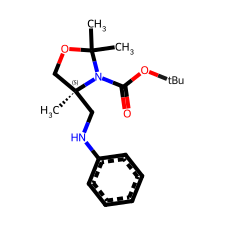 CC(C)(C)OC(=O)N1C(C)(C)OC[C@]1(C)CNc1ccccc1